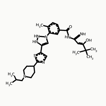 Cc1ccc(C(=O)NC(=N)/C=C(\O)C(C)(C)C)cc1N1C=C(c2cnc(C3CCN(CC(C)C)CC3)s2)NN1